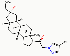 COC[C@]1(O)C[C@H]2CC[C@@H]3[C@H](CC[C@]4(C)[C@@H](C(=O)Cn5cc(C#N)cn5)CC[C@@H]34)[C@H]2C1